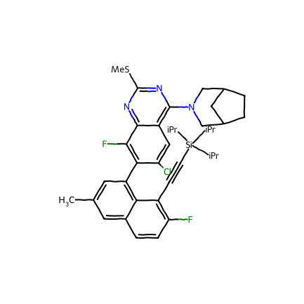 CSc1nc(N2CC3CCC(C3)C2)c2cc(Cl)c(-c3cc(C)cc4ccc(F)c(C#C[Si](C(C)C)(C(C)C)C(C)C)c34)c(F)c2n1